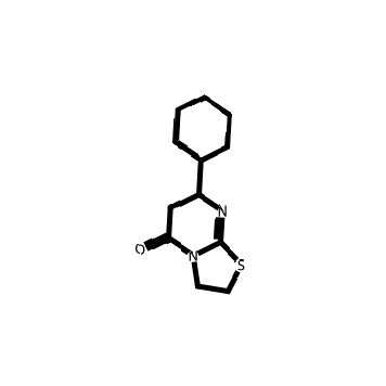 O=C1CC(C2CCCCC2)N=C2SCCN12